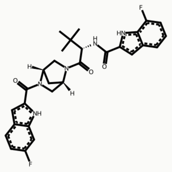 CC(C)(C)[C@H](NC(=O)c1cc2cccc(F)c2[nH]1)C(=O)N1C[C@@H]2C[C@H]1CN2C(=O)c1cc2ccc(F)cc2[nH]1